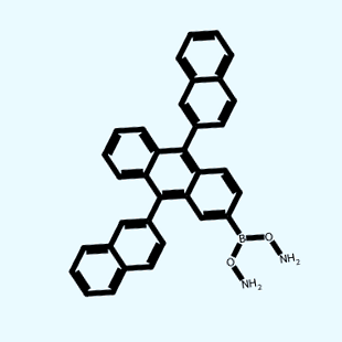 NOB(ON)c1ccc2c(-c3ccc4ccccc4c3)c3ccccc3c(-c3ccc4ccccc4c3)c2c1